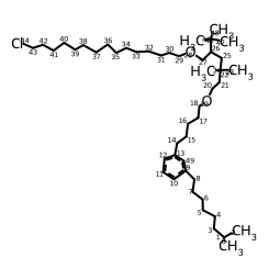 CC(C)CCCCCCc1cccc(CCCCCOCCC(C)(C)CC(COCCCCCCCCCCCCCCCCl)C(C)(C)C)c1